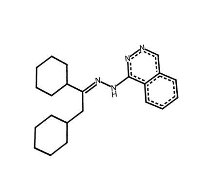 c1ccc2c(N/N=C(\CC3CCCCC3)C3CCCCC3)nncc2c1